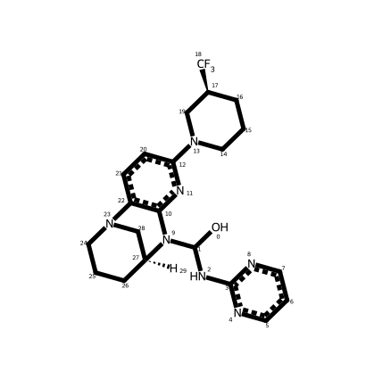 OC(Nc1ncccn1)N1c2nc(N3CCC[C@H](C(F)(F)F)C3)ccc2N2CCC[C@H]1C2